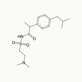 CC(C)Cc1ccc(C(C)C(=O)NS(=O)(=O)CCN(C)C)cc1